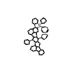 C1#CCC=C(S2(c3ccccc3)c3ccccc3-c3c2cc2c4c(C5=CC=CCC5)c5cc6c7ccccc7c7cccc(c5c(-c5ccccc5)c4c4cccc3c24)c76)C=C1